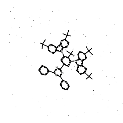 CC(C)(C)c1ccc2c(c1)c1cc(C(C)(C)C)ccc1n2-c1cc(-c2nc(-c3ccccc3)nc(-c3ccccc3)n2)cc(-n2c3ccc(C(C)(C)C)cc3c3cc(C(C)(C)C)ccc32)c1C(F)(F)F